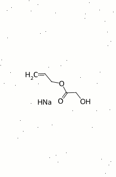 C=CCOC(=O)CO.[NaH]